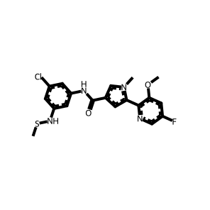 COc1cc(F)cnc1-c1cc(C(=O)Nc2cc(Cl)cc(NSC)c2)cn1C